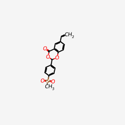 C=Cc1ccc2c(c1)C(=O)OC(c1ccc(S(C)(=O)=O)cc1)O2